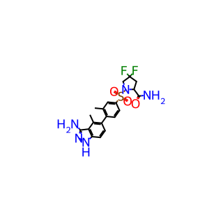 Cc1cc(S(=O)(=O)N2CC(F)(F)CC2C(N)=O)ccc1-c1ccc2[nH]nc(N)c2c1C